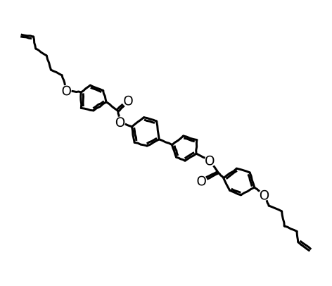 C=CCCCCOc1ccc(C(=O)Oc2ccc(-c3ccc(OC(=O)c4ccc(OCCCCC=C)cc4)cc3)cc2)cc1